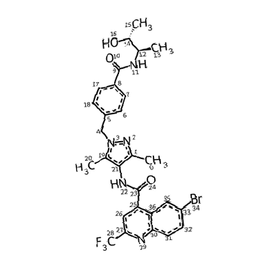 Cc1nn(Cc2ccc(C(=O)N[C@H](C)[C@@H](C)O)cc2)c(C)c1NC(=O)c1cc(C(F)(F)F)nc2ccc(Br)cc12